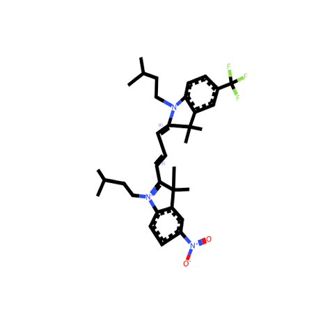 CC(C)CCN1/C(=C/C=C/C2=[N+](CCC(C)C)c3ccc([N+](=O)[O-])cc3C2(C)C)C(C)(C)c2cc(C(F)(F)F)ccc21